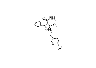 COc1ccc(CCn2nc(N3CCCC3)c(C(N)=O)c2OC)cc1